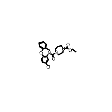 CCOC(=O)N1CCCN(C(=O)N2Cc3ccccc3Oc3ccc(Cl)cc32)CC1